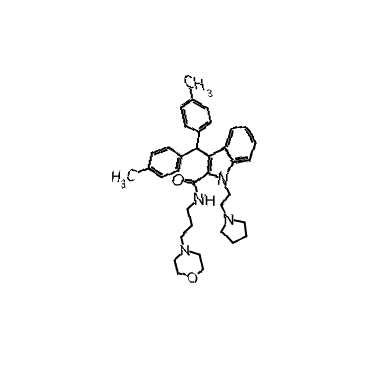 Cc1ccc(C(c2ccc(C)cc2)c2c(C(=O)NCCCN3CCOCC3)n(CCN3CCCC3)c3ccccc23)cc1